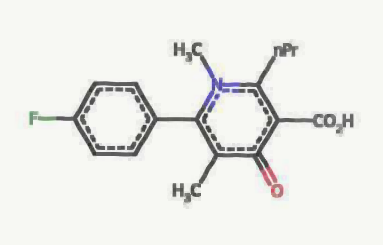 CCCc1c(C(=O)O)c(=O)c(C)c(-c2ccc(F)cc2)n1C